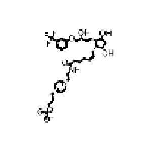 O=C(CCC/C=C\C[C@@H]1[C@@H](/C=C/[C@@H](O)COc2cccc(C(F)(F)F)c2)[C@H](O)C[C@@H]1O)NCCN1CCN(CCCO[N+](=O)[O-])CC1